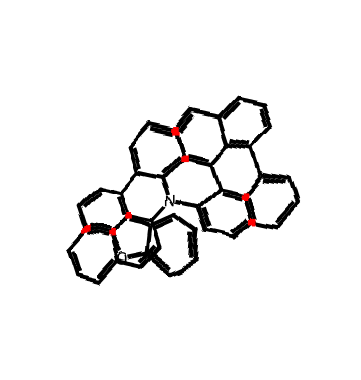 c1ccc(-c2cccc3cccc(-c4ccccc4N(c4ccc5ccccc5c4)c4ccccc4-c4cccc5oc6ccccc6c45)c23)cc1